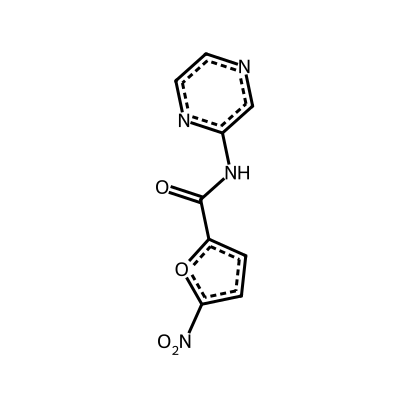 O=C(Nc1cnccn1)c1ccc([N+](=O)[O-])o1